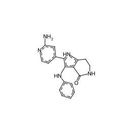 Nc1cc(-c2[nH]c3c(c2Nc2ccccc2)C(=O)NCC3)ccn1